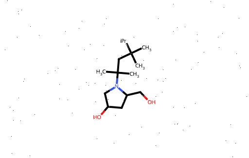 CC(C)C(C)(C)CC(C)(C)N1CC(O)CC1CO